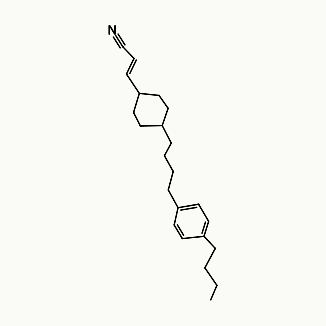 CCCCc1ccc(CCCCC2CCC(C=CC#N)CC2)cc1